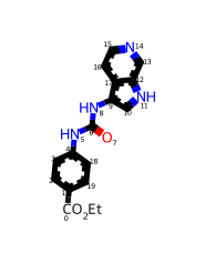 CCOC(=O)c1ccc(NC(=O)Nc2c[nH]c3cnccc23)cc1